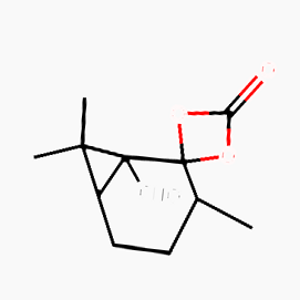 CC1CCC2C(C)(C)C2(C=O)C12OC(=O)O2